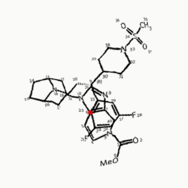 COC(=O)N1C=Cc2c(ncn2C2CC3CCC(C2)N3CC[C@@H](c2cc(F)cc(F)c2)C2CCN(S(C)(=O)=O)CC2)C1